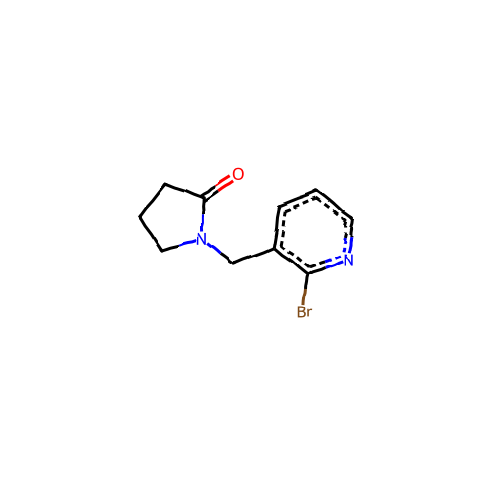 O=C1CCCN1Cc1cccnc1Br